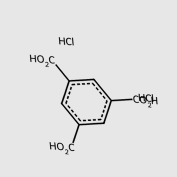 Cl.Cl.O=C(O)c1cc(C(=O)O)cc(C(=O)O)c1